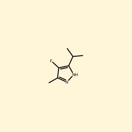 Cc1n[nH]c(C(C)C)c1F